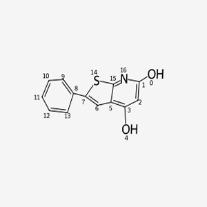 Oc1cc(O)c2cc(-c3ccccc3)sc2n1